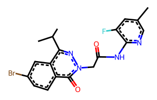 Cc1cnc(NC(=O)Cn2nc(C(C)C)c3cc(Br)ccc3c2=O)c(F)c1